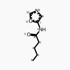 CCCCC(=O)Nc1cnco1